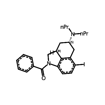 CCCN(CCC)[C@@H]1Cc2c(I)ccc3c2[C@@H](C1)CN3C(=O)c1ccccc1